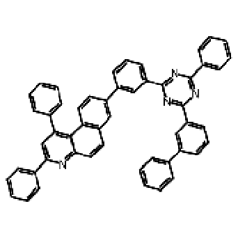 c1ccc(-c2cccc(-c3nc(-c4ccccc4)nc(-c4cccc(-c5ccc6c(ccc7nc(-c8ccccc8)cc(-c8ccccc8)c76)c5)c4)n3)c2)cc1